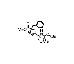 COC[C@@H](NC(=O)OC(C)(C)C)C1=NOC(Cc2ccccc2)(C(=O)OC)C1